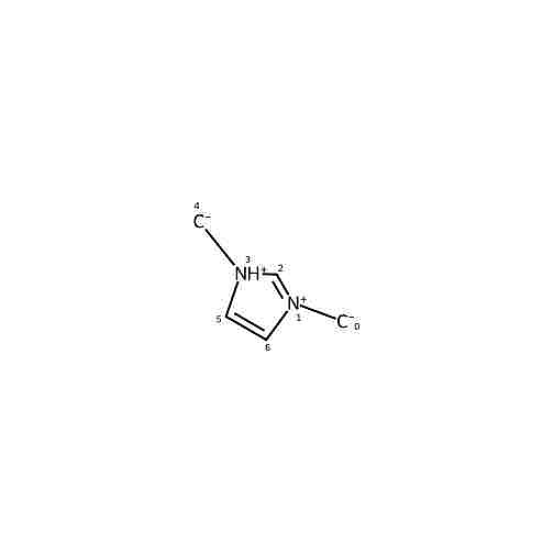 [CH2-][N+]1=C[NH+]([CH2-])C=C1